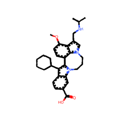 COc1ccc2c3c1c(CNC(C)C)cn3CCCn1c-2c(C2CCCCC2)c2ccc(C(=O)O)cc21